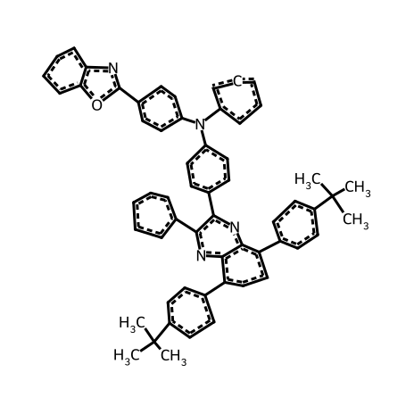 CC(C)(C)c1ccc(-c2ccc(-c3ccc(C(C)(C)C)cc3)c3nc(-c4ccc(N(c5ccccc5)c5ccc(-c6nc7ccccc7o6)cc5)cc4)c(-c4ccccc4)nc23)cc1